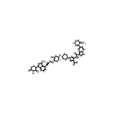 Cn1nc(C2CCC(=O)NC2=O)c2cccc(C#CCO[C@H]3CCN(C[C@H]4CC[C@H](n5cc(NC(=O)c6cnn7ccc(N8CCOCC8C(F)(F)F)nc67)c(C(F)F)n5)CC4)C[C@H]3F)c21